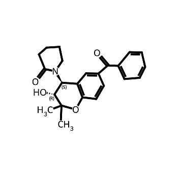 CC1(C)Oc2ccc(C(=O)c3ccccc3)cc2[C@H](N2CCCCC2=O)[C@H]1O